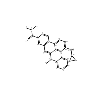 CN(C)C(=O)c1ccc2c(c1)nc(N(C)c1ccccc1)c1nc(NC3CC3)ncc12